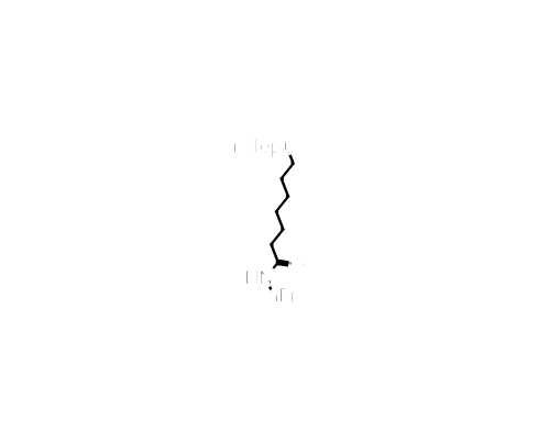 CC[CH]NC(=O)CCCCCCCCCCCCC